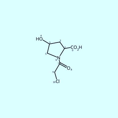 O=C(O)C1CC(O)CN1C(=O)CCl